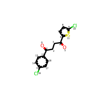 O=C(CCC(=O)c1ccc(Cl)s1)c1ccc(Cl)cc1